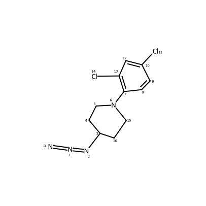 [N-]=[N+]=NC1CCN(c2ccc(Cl)cc2Cl)CC1